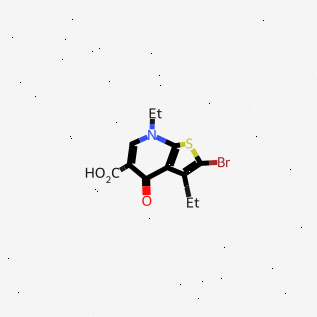 CCc1c(Br)sc2c1c(=O)c(C(=O)O)cn2CC